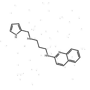 c1c[nH]c(CNCCCNc2ccc3ccccc3n2)c1